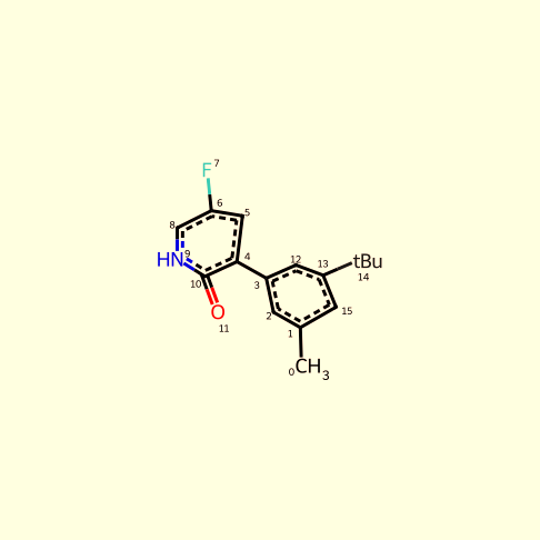 Cc1cc(-c2cc(F)c[nH]c2=O)cc(C(C)(C)C)c1